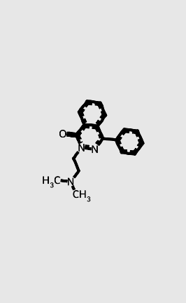 CN(C)CCn1nc(-c2ccccc2)c2ccccc2c1=O